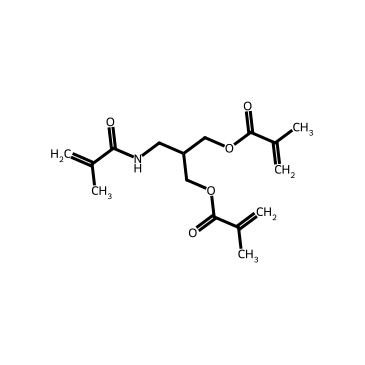 C=C(C)C(=O)NCC(COC(=O)C(=C)C)COC(=O)C(=C)C